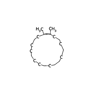 C/C1=C(\C)CCCCCCCCCCCCCCCC1